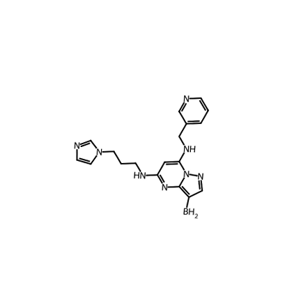 Bc1cnn2c(NCc3cccnc3)cc(NCCCn3ccnc3)nc12